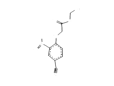 CCOC(=O)COc1ccc(C#N)cc1[N+](=O)[O-]